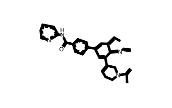 C=C/N=C1/C(C2=CCCN(C(=C)C)C2)=CC(c2ccc(C(=O)Nc3ccccn3)cc2)=C/C1=C/C